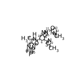 Cc1cnc(-c2cc(C(=O)NC(C)c3cnc(C(F)(F)F)nc3)cc3nn(CC4CN(C)CCO4)cc23)s1